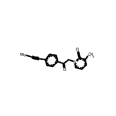 Cc1cccn(CC(=O)c2ccc(C#CC(C)(C)C)cc2)c1=O